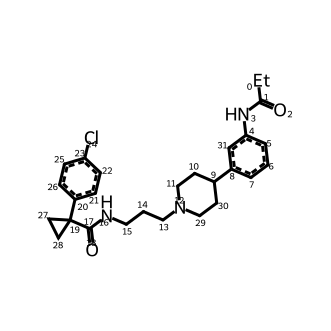 CCC(=O)Nc1cccc(C2CCN(CCCNC(=O)C3(c4ccc(Cl)cc4)CC3)CC2)c1